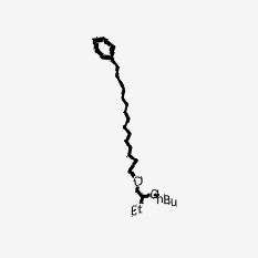 CCCCOC(CC)COCCCCCCCCCCCCCCc1ccccc1